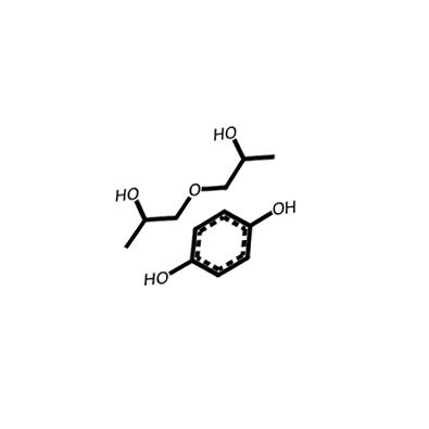 CC(O)COCC(C)O.Oc1ccc(O)cc1